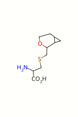 NC(CSCC1OCCC2CC21)C(=O)O